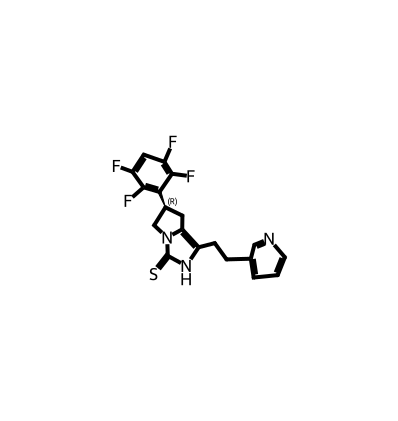 Fc1cc(F)c(F)c([C@H]2Cc3c(CCc4cccnc4)[nH]c(=S)n3C2)c1F